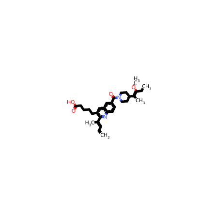 C=C/C=C(\C)c1nc2ccc(C(=O)N3CCC(/C(C)=C(/CC)OC)CC3)cc2cc1CCCCC(=O)O